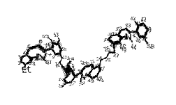 CCc1ccc2ccc(-c3cc(CCc4cc(C)cc(-c5ccc6c(CCCCc7ccc8ccc(-c9cc(C)ccc9C)[n+](C)c8c7)cccc6[n+]5C)c4C)cc(C)c3C)[n+](C)c2c1